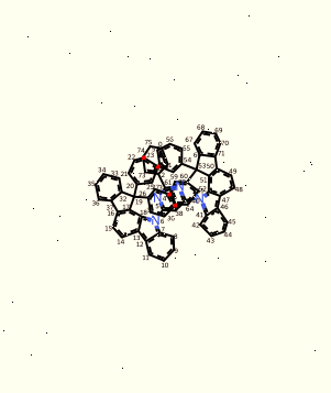 C1=CC(c2nc(-n3c4ccccc4c4ccc5c(c43)C(c3ccccc3)(c3ccccc3)c3ccccc3-5)cc(-n3c4ccccc4c4ccc5c(c43)C(c3ccccc3)(c3ccccc3)c3ccccc3-5)n2)=CCC1